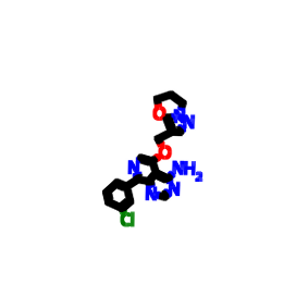 Nc1ncnc2c(-c3cccc(Cl)c3)ncc(OCc3cnn4c3OCCC4)c12